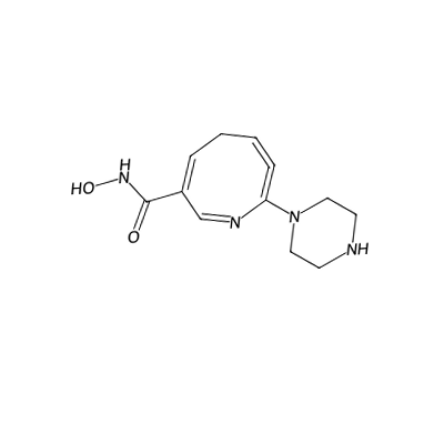 O=C(NO)C1=C/CC=C=C(N2CCNCC2)/N=C\1